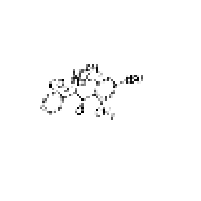 CCOC(=O)C(C(=O)c1c(C)cc(C(C)(C)C)cc1C)c1ccccc1.O=[PH3]